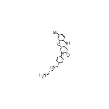 NCCCNCc1ccc(-n2cc3c(nc2=O)Nc2ccc(Br)cc2O3)cc1